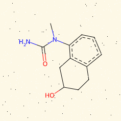 CN(C(N)=O)c1cccc2c1CC(O)CC2